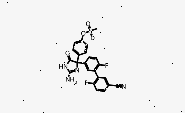 CS(=O)(=O)Oc1ccc(C2(c3ccc(F)c(-c4cc(C#N)ccc4F)c3)N=C(N)NC2=O)cc1